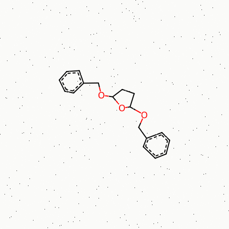 c1ccc(COC2CCC(OCc3ccccc3)O2)cc1